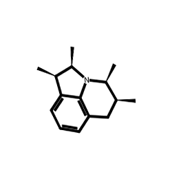 C[C@@H]1c2cccc3c2N([C@@H]1C)[C@@H](C)[C@@H](C)C3